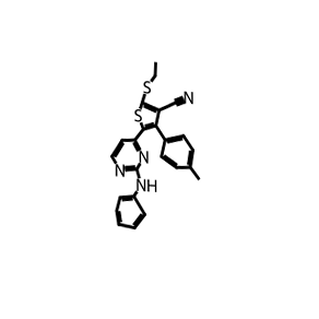 CCSc1sc(-c2ccnc(Nc3ccccc3)n2)c(-c2ccc(C)cc2)c1C#N